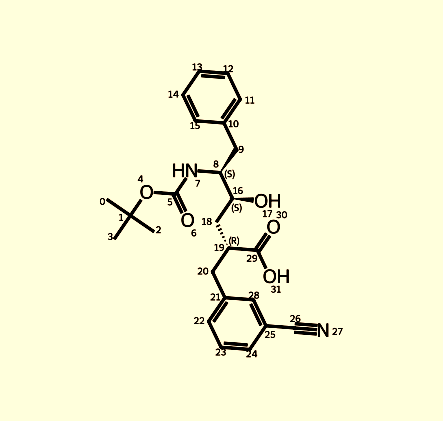 CC(C)(C)OC(=O)N[C@@H](Cc1ccccc1)[C@@H](O)C[C@@H](Cc1cccc(C#N)c1)C(=O)O